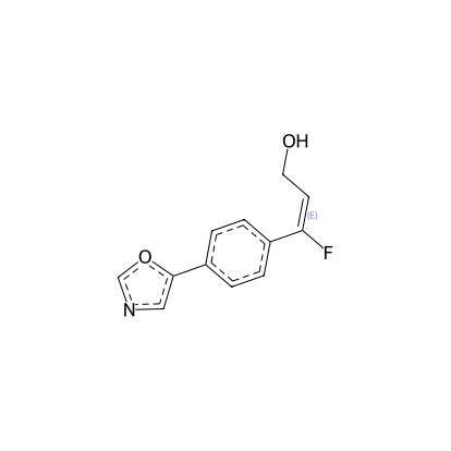 OC/C=C(/F)c1ccc(-c2cnco2)cc1